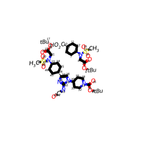 CC(C)(C)OC(=O)CN([C@H]1CC[C@H](C(=O)O)CC1)S(C)(=O)=O.CC(C)(C)OC(=O)CN([C@H]1CC[C@H](c2cn(C3CCN(C(=O)OC(C)(C)C)CC3)c(N=C=O)n2)CC1)S(C)(=O)=O